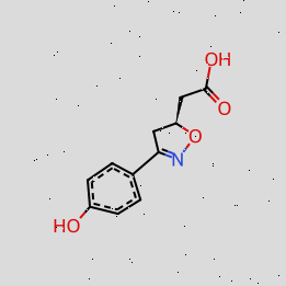 O=C(O)C[C@@H]1CC(c2ccc(O)cc2)=NO1